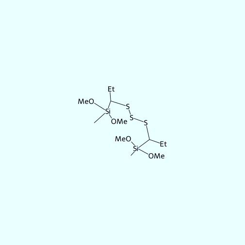 CCC(SSSC(CC)[Si](C)(OC)OC)[Si](C)(OC)OC